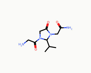 CC(C)C1N(CC(N)=O)C(=O)CN1C(=O)CN